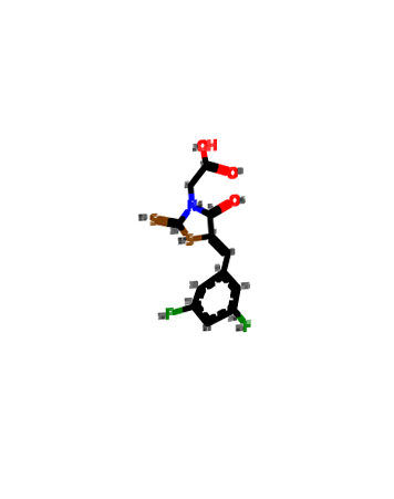 O=C(O)CN1C(=O)/C(=C/c2cc(F)cc(F)c2)SC1=S